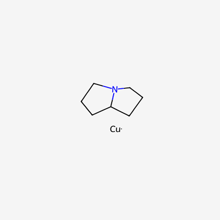 C1CC2CCCN2C1.[Cu]